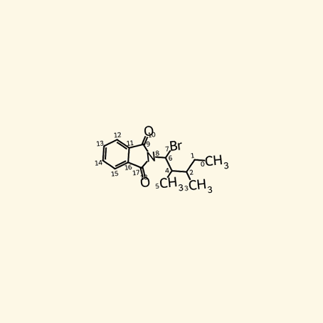 CCC(C)C(C)C(Br)N1C(=O)c2ccccc2C1=O